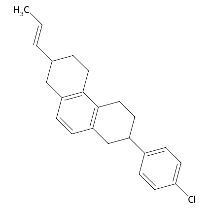 CC=CC1CCc2c(ccc3c2CCC(c2ccc(Cl)cc2)C3)C1